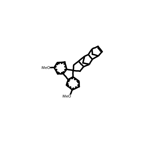 COc1ccc2c(c1)-c1cc(OC)ccc1C21CC2C(C1)C1CC2C2C3C=CC(C3)C12